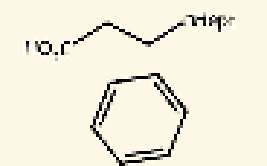 CCCCCCCCCC(=O)O.c1ccccc1